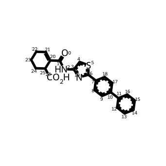 O=C(Nc1csc(-c2ccc(-c3ccccc3)cc2)n1)C1=CCCCC1C(=O)O